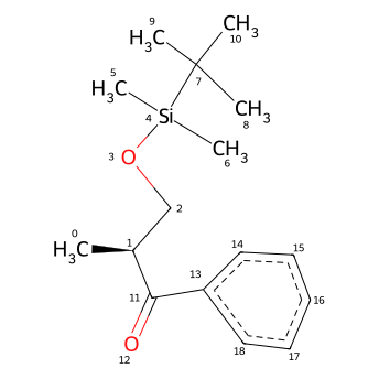 C[C@@H](CO[Si](C)(C)C(C)(C)C)C(=O)c1ccccc1